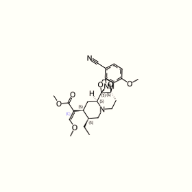 CC[C@@H]1CN2CC[C@@]34OCCO[C@@]3(Nc3c(C#N)ccc(OC)c34)[C@@H]2C[C@@H]1/C(=C\OC)C(=O)OC